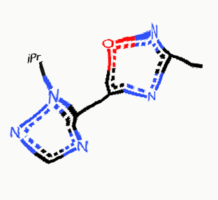 Cc1noc(-c2ncnn2C(C)C)n1